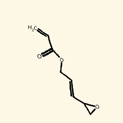 C=CC(=O)OCC=CC1CO1